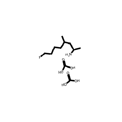 CC(N)CC(C)CCCCF.O=C(O)O.O=C(O)O